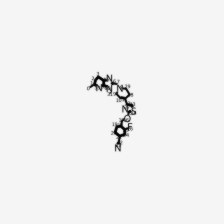 Cc1ccc2nc(CN3CC=C(c4csc(OCc5ccc(C#N)cc5F)n4)CC3)n(C)c2n1